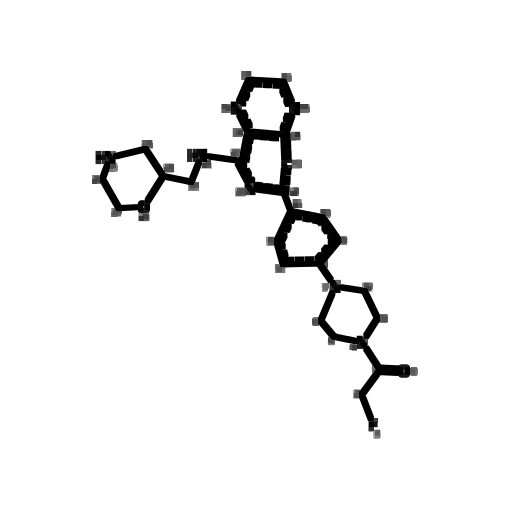 O=C(CF)N1CCN(c2ccc(-c3cc4nccnc4c(NCC4CNCCO4)n3)cc2)CC1